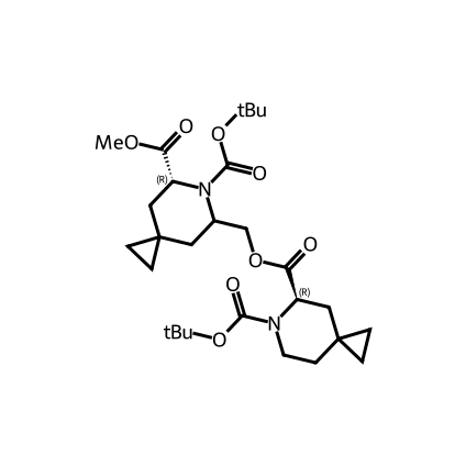 COC(=O)[C@H]1CC2(CC2)CC(COC(=O)[C@H]2CC3(CCN2C(=O)OC(C)(C)C)CC3)N1C(=O)OC(C)(C)C